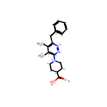 Cc1c(Cc2ccccc2)nnc(N2CCC(C(=O)O)CC2)c1C